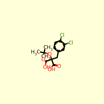 CC(C)(C)OC(Cc1ccc(Cl)c(Cl)c1)(C(=O)O)C(=O)O